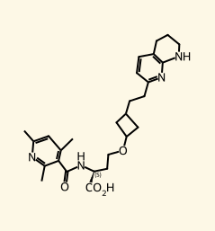 Cc1cc(C)c(C(=O)N[C@@H](CCOC2CC(CCc3ccc4c(n3)NCCC4)C2)C(=O)O)c(C)n1